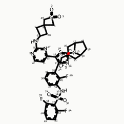 O=S1(=O)CC2(CC(Nc3nccc(-c4sc(N5C6CCC5CN(CC(F)(F)F)C6)nc4-c4cccc(NS(=O)(=O)c5c(F)cccc5F)c4F)n3)C2)C1